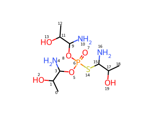 CC(O)C(N)OP(=O)(OC(N)C(C)O)SC(N)C(C)O